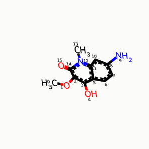 COc1c(O)c2ccc(N)cc2n(C)c1=O